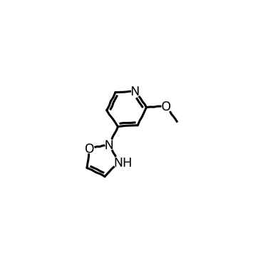 COc1cc(N2NC=CO2)ccn1